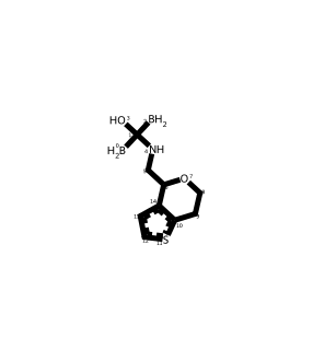 BC(B)(O)NCC1OCCc2sccc21